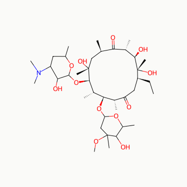 CC[C@H]1CC(=O)[C@H](C)[C@@H](OC2CC(C)(OC)C(O)C(C)O2)[C@H](C)[C@@H](OC2OC(C)CC(N(C)C)C2O)[C@](C)(O)C[C@@H](C)C(=O)[C@H](C)[C@@H](O)[C@]1(C)O